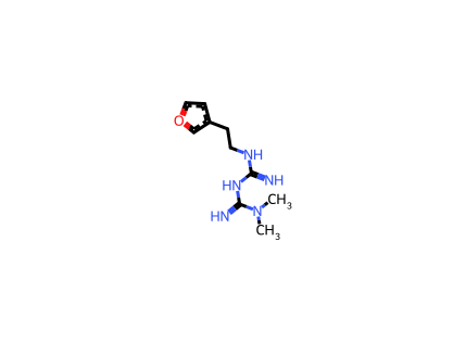 CN(C)C(=N)NC(=N)NCCc1ccoc1